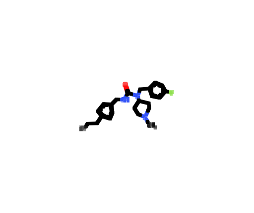 CC(C)CCc1ccc(CNC(=O)N(Cc2ccc(F)cc2)C2CCN(C)CC2)cc1